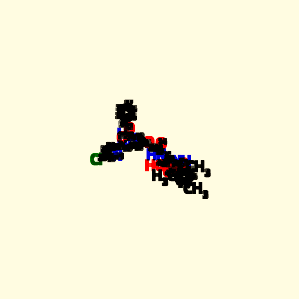 Cc1cc(C)c(S(=O)(=O)N[C@@H](CNC(=O)CO[C@@H]2C[C@@H](CNc3ccc(Cl)cn3)N(C(=O)OCc3ccccc3)C2)C(=O)O)c(C)c1